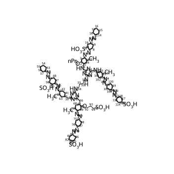 CCCOc1cc(N=Nc2ccc(N=Nc3ccccc3)cc2S(=O)(=O)O)c(C)cc1Nc1nc(NCCCCNc2nc(Cc3ccc(N=Nc4ccc(N=Nc5ccccc5)cc4S(=O)(=O)O)c(C)c3)nc(Cc3cc(C)c(N=Nc4ccc(N=Nc5ccc(S(=O)(=O)O)cc5)cc4)cc3OCCCS(=O)(=O)O)n2)nc(Nc2ccc(N=Nc3ccc(N=Nc4ccc(S(=O)(=O)O)cc4)cc3)c(C)c2)n1